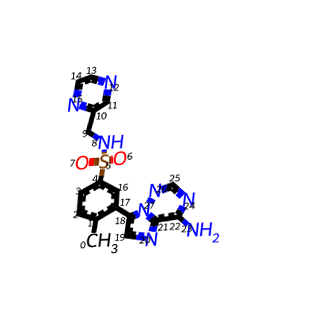 Cc1ccc(S(=O)(=O)NCc2cnccn2)cc1-c1cnc2c(N)ncnn12